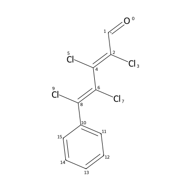 O=[C]C(Cl)=C(Cl)C(Cl)=C(Cl)c1ccccc1